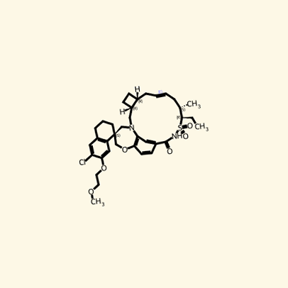 CC[C@@H]1[C@@H](C)C/C=C/C[C@H]2CC[C@H]2CN2C[C@@]3(CCCc4cc(Cl)c(OCCOC)cc43)COc3ccc(cc32)C(=O)NS1(=O)=O